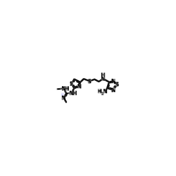 C/N=C(/NC)Nc1nc(CSCCNc2nsnc2N)cs1